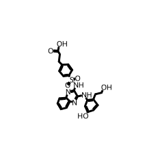 O=C(O)CCc1ccc(S(=O)(=O)Nc2nc3ccccc3nc2Nc2cc(O)ccc2CCO)cc1